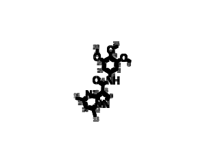 COc1cc(NC(=O)c2cnn3c(C)cc(C)nc23)cc(OC)c1OC